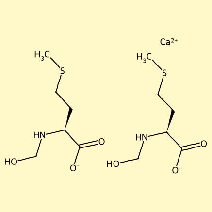 CSCC[C@H](NCO)C(=O)[O-].CSCC[C@H](NCO)C(=O)[O-].[Ca+2]